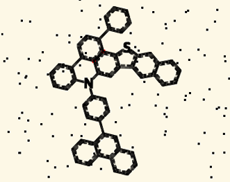 c1ccc(-c2ccc(-c3ccccc3N(c3ccc(-c4cc5ccccc5c5ccccc45)cc3)c3ccc4sc5cc6ccccc6cc5c4c3)cc2)cc1